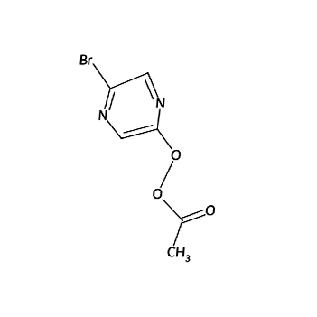 CC(=O)OOc1cnc(Br)cn1